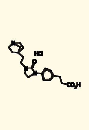 Cl.O=C(O)CCc1ccc(N2CCN(CCC34CCN(CC3)C4)C2=O)cc1